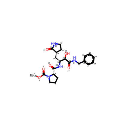 CC(C)(C)OC(=O)N1CCC[C@H]1C(=O)N[C@@H](C[C@@H]1CCNC1=O)C(O)C(=O)NCc1ccccc1